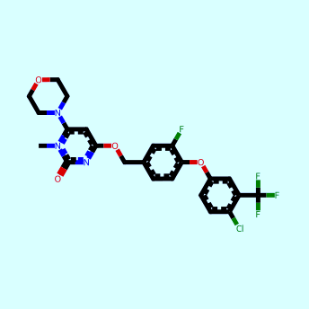 Cn1c(N2CCOCC2)cc(OCc2ccc(Oc3ccc(Cl)c(C(F)(F)F)c3)c(F)c2)nc1=O